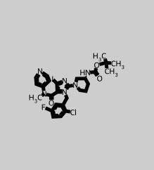 CN(C(=O)c1c(I)nc(N2CCC[C@@H](NC(=O)OC(C)(C)C)C2)n1Cc1cc(F)ccc1Cl)c1ccncc1